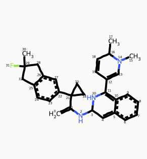 C=C(NC1C=c2ccccc2=C(C2=CN(C)C(C)C=C2)N1)C1(c2ccc3c(c2)CC(C)(F)C3)CC1